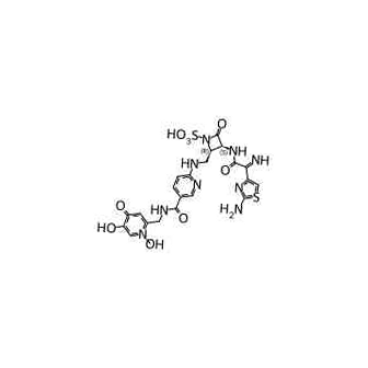 N=C(C(=O)N[C@@H]1C(=O)N(S(=O)(=O)O)[C@@H]1CNc1ccc(C(=O)NCc2cc(=O)c(O)cn2O)cn1)c1csc(N)n1